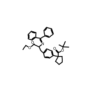 CCOC(=O)C(Cc1ccc(C2(C(=O)OC(C)(C)C)CCCC2)cc1)N=C(c1ccccc1)c1ccccc1